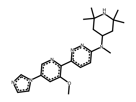 COc1cc(-n2ccnc2)cnc1-c1ccc(N(C)C2CC(C)(C)NC(C)(C)C2)nn1